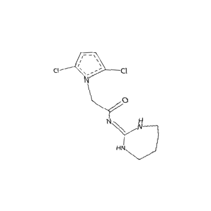 O=C(Cn1c(Cl)ccc1Cl)N=C1NCCCN1